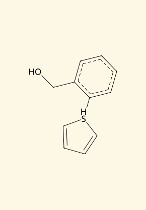 OCc1ccccc1[SH]1C=CC=C1